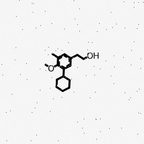 COc1c(C)cc(CCO)cc1C1CCCCC1